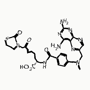 CN(Cc1cnc2nc(N)nc(N)c2n1)c1ccc(C(=O)N[C@@H](CCC(=O)N2CCSC2=O)C(=O)O)cc1